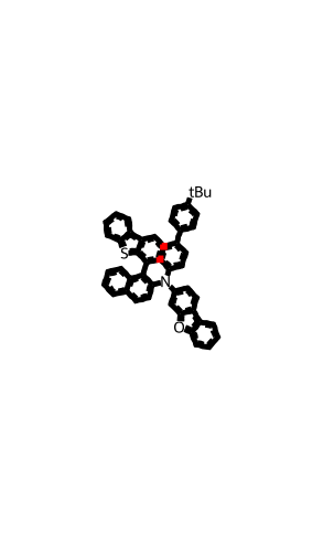 CC(C)(C)c1ccc(-c2ccc(N(c3ccc4c(c3)oc3ccccc34)c3ccc4ccccc4c3-c3cccc4c3sc3ccccc34)cc2)cc1